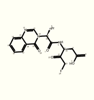 C=C(O)C[C@H](NC(=O)[C@H](CCC)n1cnc2ccccc2c1=O)C(=O)CF